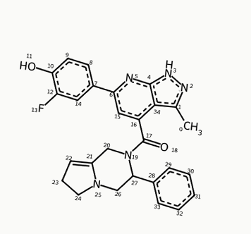 Cc1n[nH]c2nc(-c3ccc(O)c(F)c3)cc(C(=O)N3CC4=CCCN4CC3c3ccccc3)c12